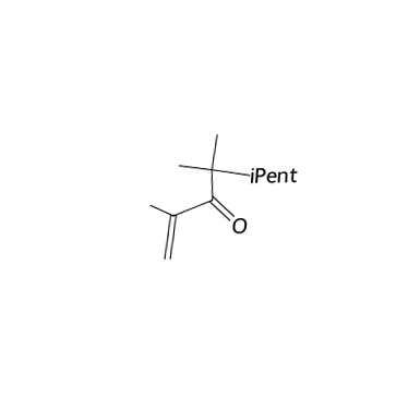 C=C(C)C(=O)C(C)(C)C(C)CCC